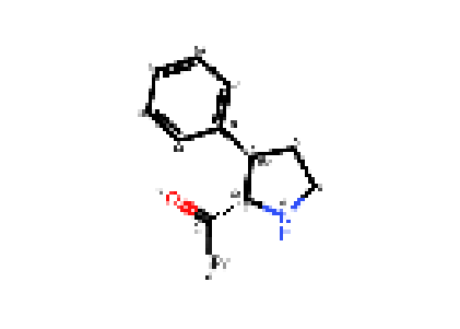 CC(C)C(=O)[C@H]1NCC[C@@H]1c1ccccc1